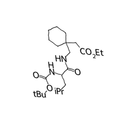 CCOC(=O)CC1(CNC(=O)C(CC(C)C)NC(=O)OC(C)(C)C)CCCCC1